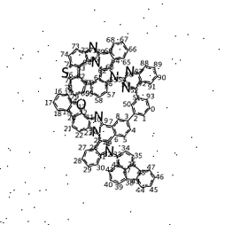 c1cc(-c2ccc3c(c2)c2nc4c5oc6ccccc6c5ccc4n2c2c4ccccc4n(-c4ccc5c6c(cccc46)-c4ccccc4-5)c32)cc(-c2nc(-n3c4ccccc4c4c3c3ccccc3c3nc5ccc6sc7ccccc7c6c5n34)nc3ccccc23)c1